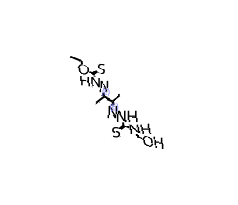 CCOC(=S)N/N=C(C)/C(C)=N/NC(=S)NCO